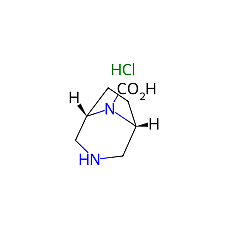 Cl.O=C(O)N1[C@@H]2CC[C@H]1CNC2